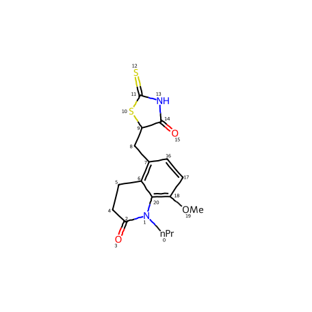 CCCN1C(=O)CCc2c(CC3SC(=S)NC3=O)ccc(OC)c21